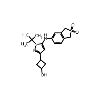 CC(C)(C)n1nc(C2CC(O)C2)cc1Nc1ccc2c(c1)CS(=O)(=O)C2